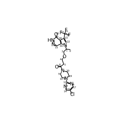 CC(COCCC(=O)N1CCN(c2ncc(Cl)cn2)CC1)n1cc(C(F)(F)F)c2c(=O)[nH]ncc21